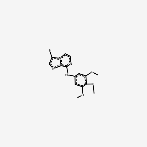 COc1cc(Nc2nccn3c(Br)cnc23)cc(OC)c1OC